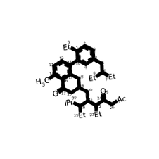 CCc1ccc(CC(CC)CC)cc1-c1ccc(C)c2c1CC(CC(C(CC)C(=O)CC(C)=O)C(CC)C(C)C)CC2=O